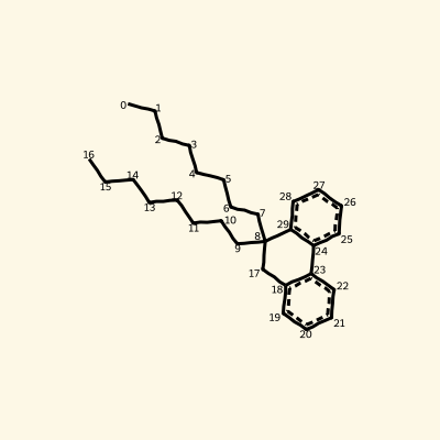 CCCCCCCCC1(CCCCCCCC)Cc2ccccc2-c2ccccc21